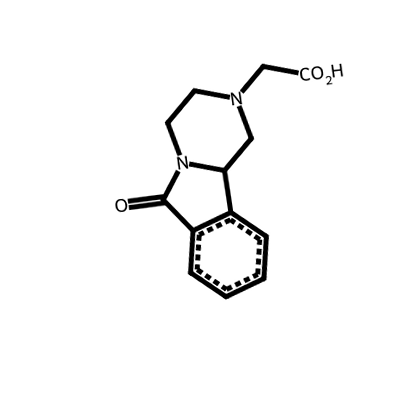 O=C(O)CN1CCN2C(=O)c3ccccc3C2C1